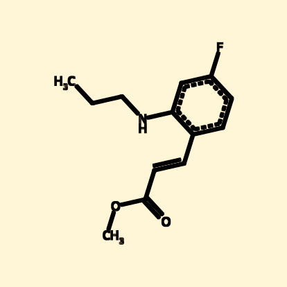 CCCNc1cc(F)ccc1/C=C/C(=O)OC